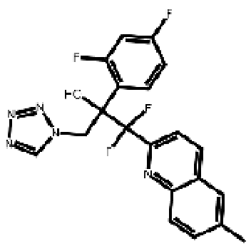 Cc1ccc2nc(C(F)(F)C(O)(Cn3cnnn3)c3ccc(F)cc3F)ccc2c1